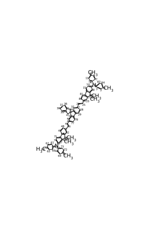 Cc1ccc(N(c2ccc(C)cc2)c2ccc3c(c2)C(C)(C)c2cc(/C=C/c4ccc5c(c4)C4(Cc6ccccc6C4)c4cc(/C=C/c6ccc7c(c6)C(C)(C)c6cc(N(c8ccc(C)cc8)c8ccc(C)cc8)ccc6-7)ccc4-5)ccc2-3)cc1